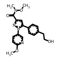 COc1ccc(-n2nc(C(=O)N(C)OC)cc2-c2ccc(CCO)cc2)cn1